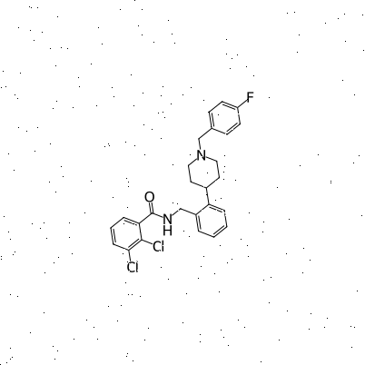 O=C(NCc1ccccc1C1CCN(Cc2ccc(F)cc2)CC1)c1cccc(Cl)c1Cl